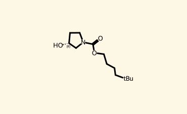 CC(C)(C)CCCCOC(=O)N1CC[C@@H](O)C1